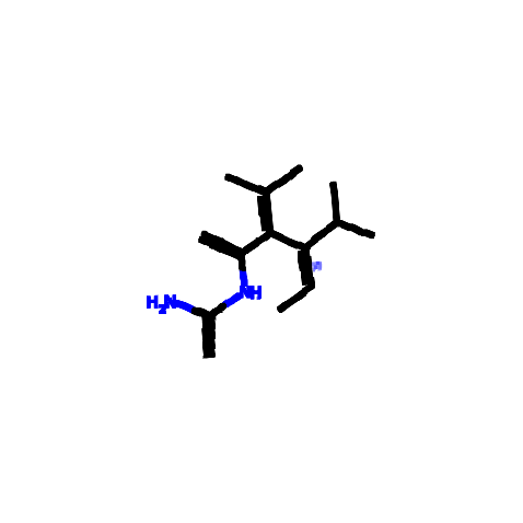 C=C(N)NC(=C)C(=C(C)C)/C(=C\C)C(C)C